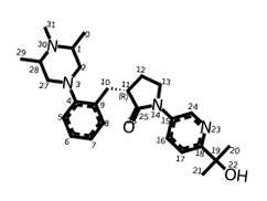 CC1CN(c2ccccc2C[C@@H]2CCN(c3ccc(C(C)(C)O)nc3)C2=O)CC(C)N1C